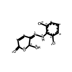 O=C1C=C/C(=N/Nc2c(Cl)cccc2Cl)C(O)O1